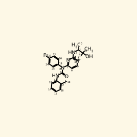 C[C@H](Nc1nccc(N(C(=O)Nc2ccccc2F)c2ccc(F)cc2)n1)C(C)(C)O